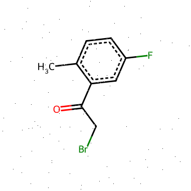 Cc1ccc(F)cc1C(=O)CBr